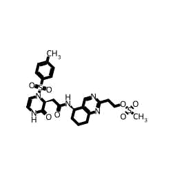 Cc1ccc(S(=O)(=O)N2C=CNC(=O)[C@@H]2CC(=O)N[C@@H]2CCCc3nc(CCOS(C)(=O)=O)ncc32)cc1